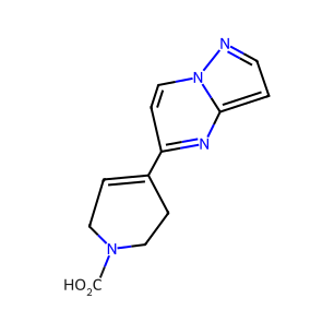 O=C(O)N1CC=C(c2ccn3nccc3n2)CC1